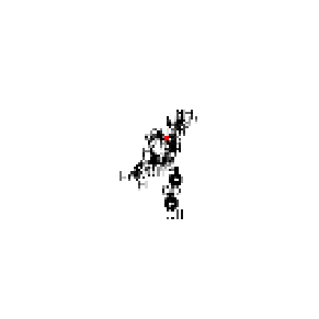 Nc1ncnc2c1ncn2[C@@H]1O[C@@H]2COP(=O)(/C=[SH]/Cc3ccc(OC(=O)c4ccc(O)cc4)cc3)O[C@H]3[C@@H](F)[C@H](N4C=CC(O)NC4O)O[C@@H]3COP(=O)(O)O[C@@H]1[C@@H]2F